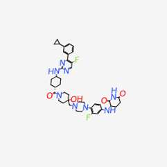 O=C1CCC(Nc2ccc(N3CCN(CC4(O)CCN(C(=O)[C@H]5CC[C@H](Nc6ncc(F)c(-c7cccc(C8CC8)c7)n6)CC5)CC4)CC3)c(F)c2)C(=O)N1